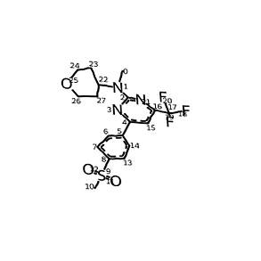 CN(c1nc(-c2ccc(S(C)(=O)=O)cc2)cc(C(F)(F)F)n1)C1CCOCC1